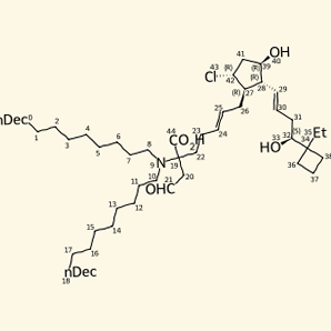 CCCCCCCCCCCCCCCCCCN(CCCCCCCCCCCCCCCCCC)C(CC=O)(CCC=CC[C@@H]1[C@@H](C=CC[C@H](O)C2(CC)CCC2)[C@H](O)C[C@H]1Cl)C(=O)O